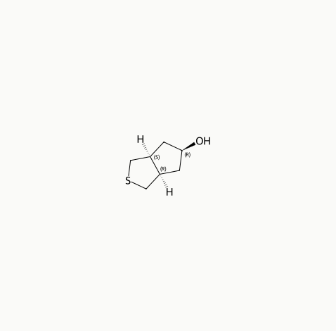 O[C@H]1C[C@H]2CSC[C@H]2C1